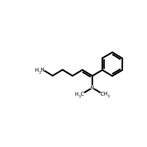 CN(C)C(=CCCCN)c1ccccc1